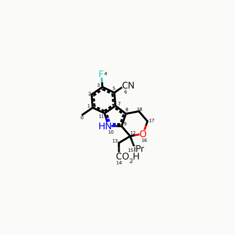 Cc1cc(F)c(C#N)c2c3c([nH]c12)C(CC(=O)O)(C(C)C)OCC3